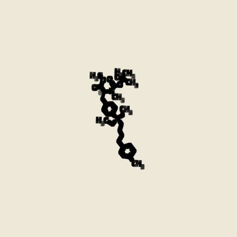 CC[Si](CC)(CCCCc1ccc(C)cc1)c1ccc(C[C@@H](C(=O)OC)N(C)C(=O)OC(C)(C)C)cc1